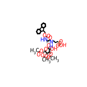 CC(=O)OC[C@H]1OC(OC[C@H](NC(=O)OCC2c3ccccc3-c3ccccc32)C(=O)NCCCS(=O)(=O)O)[C@H](O)[C@@H](OC(C)=O)[C@@H]1OC(C)=O